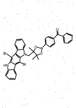 CC1(C)OB(c2ccc(C(=O)c3ccccc3)cc2)OC1(C)Cn1c2ccccc2c2c(Br)c3[nH]c4ccccc4c3c(Br)c21